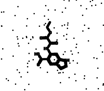 CCOC(=O)C(=O)Nc1cc2[nH]ccc2cc1C(=O)O